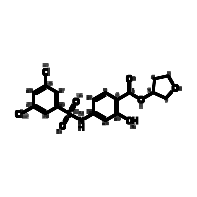 O=C(OC1CCOC1)c1ccc(NS(=O)(=O)c2cc(Cl)cc(Cl)c2)cc1O